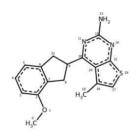 COc1cccc2c1CC(c1nc(N)nc3scc(C)c13)C2